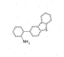 Nc1ccccc1-c1ccc2sc3ccccc3c2c1